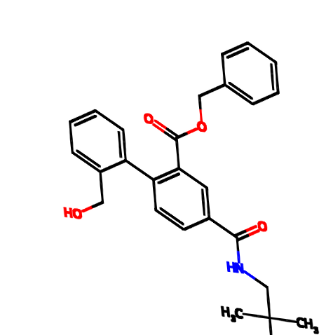 CC(C)(C)CNC(=O)c1ccc(-c2ccccc2CO)c(C(=O)OCc2ccccc2)c1